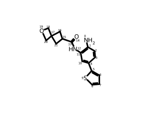 Nc1ccc(-c2cccs2)cc1NC(=O)C1CC2(COC2)C1